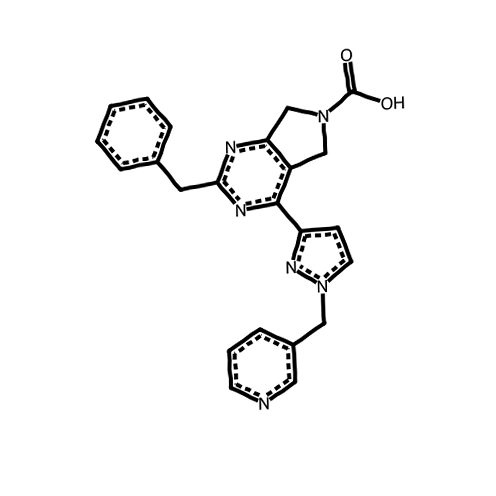 O=C(O)N1Cc2nc(Cc3ccccc3)nc(-c3ccn(Cc4cccnc4)n3)c2C1